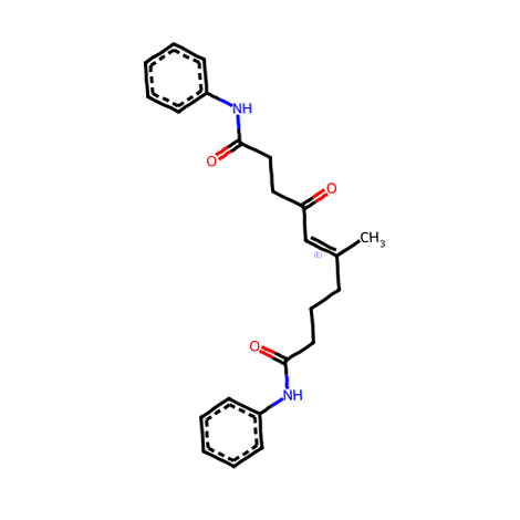 C/C(=C\C(=O)CCC(=O)Nc1ccccc1)CCCC(=O)Nc1ccccc1